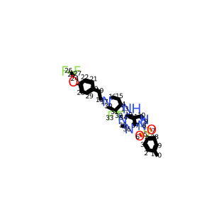 Cc1ccc(S(=O)(=O)n2ncc3c(NC4CCN(CCc5ccc(OC(F)F)cc5)CC4(F)F)ncnc32)cc1